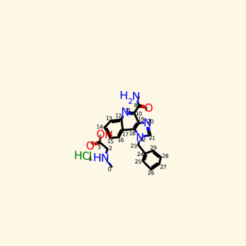 CNCC(=O)O.Cl.NC(=O)c1nc2ccccc2c2c1ncn2Cc1ccccc1